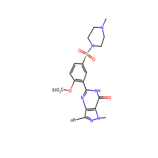 CCCc1nn(C)c2c(=O)[nH]c(-c3cc(S(=O)(=O)N4CCN(C)CC4)ccc3OC(=O)OCC)nc12